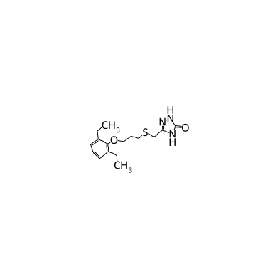 CCc1cccc(CC)c1OCCCSCc1n[nH]c(=O)[nH]1